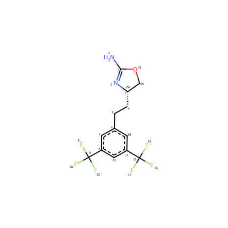 NC1=N[C@@H](CCc2cc(C(F)(F)F)cc(C(F)(F)F)c2)CO1